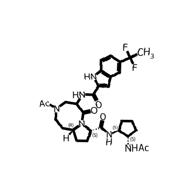 CC(=O)N[C@H]1CCC[C@@H]1NC(=O)[C@@H]1CC[C@@H]2CCN(C(C)=O)CC(NC(=O)c3cc4cc(C(C)(F)F)ccc4[nH]3)C(=O)N21